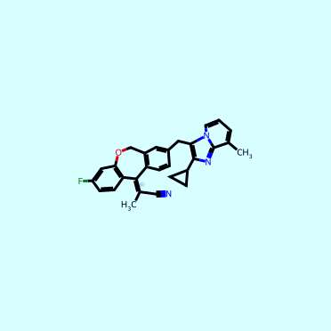 C/C(C#N)=C1/c2ccc(Cc3c(C4CC4)nc4c(C)cccn34)cc2COc2cc(F)ccc21